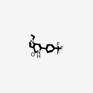 CCn1ccc2c(=O)[nH]c(-c3ccc(C(F)(F)F)cc3)cc21